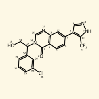 O=c1c2ccc(-c3cn[nH]c3C(F)(F)F)cc2ncn1C(CO)c1cccc(Cl)c1